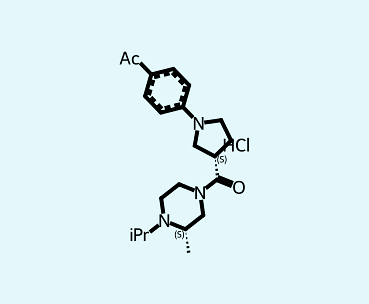 CC(=O)c1ccc(N2CC[C@H](C(=O)N3CCN(C(C)C)[C@@H](C)C3)C2)cc1.Cl